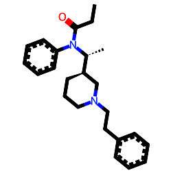 CCC(=O)N(c1ccccc1)[C@H](C)[C@@H]1CCCN(CCc2ccccc2)C1